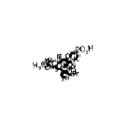 CC(C)c1nccc(CCCCO[Si](C)(C)C(C)(C)C)c1-n1c(=O)nc(N2CCN(C(=O)O)CC2C)c2cc(F)c(Cl)nc21